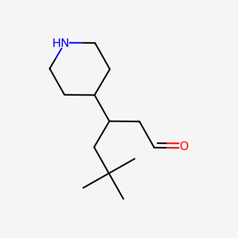 CC(C)(C)CC(CC=O)C1CCNCC1